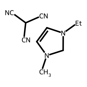 CCN1C=CN(C)C1.N#CC(C#N)C#N